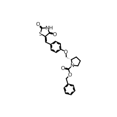 O=C1NC(=O)/C(=C\c2ccc(OC[C@@H]3CCCN3C(=O)OCc3ccccc3)cc2)S1